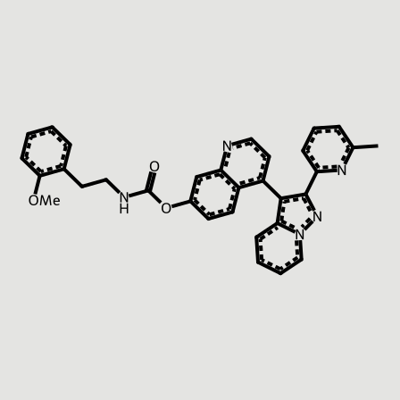 COc1ccccc1CCNC(=O)Oc1ccc2c(-c3c(-c4cccc(C)n4)nn4ccccc34)ccnc2c1